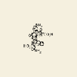 C[C@H](NC(=O)[C@H](C)NC(=O)[C@H](CC(N)=O)NC(=O)[C@@H](N)CC(=O)O)C(=O)N[C@@H](Cc1ccccc1)C(=O)N[C@@H](CC(N)=O)C(=O)O